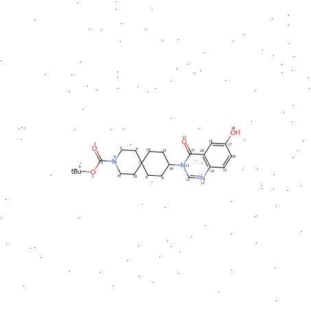 CC(C)(C)OC(=O)N1CCC2(CCC(n3cnc4ccc(O)cc4c3=O)CC2)CC1